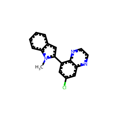 Cn1c(-c2cc(Cl)cc3nccnc23)cc2ccccc21